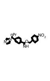 CCCC(c1ccc(C(=N)OCc2ccc([N+](=O)[O-])cc2)cc1)n1ccnc1